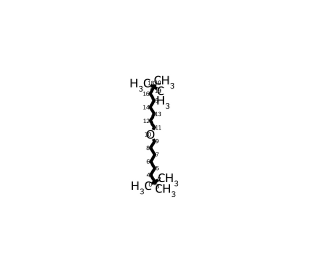 CC(C)(C)CCCCCCOCCCCCCC(C)(C)C